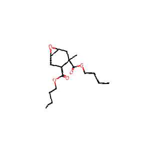 CCCCOC(=O)C1CC2OC2CC1(C)C(=O)OCCCC